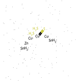 S.S.[Cu].[Cu].[S]=[Cu].[SnH2].[SnH2].[Zn]